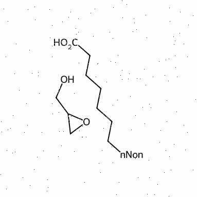 CCCCCCCCCCCCCCCC(=O)O.OCC1CO1